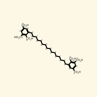 O=C(O)c1cc(CCCCCCCCCCCCCCCCc2cc(C(=O)O)cc(C(=O)O)c2C(=O)O)c(C(=O)O)c(C(=O)O)c1